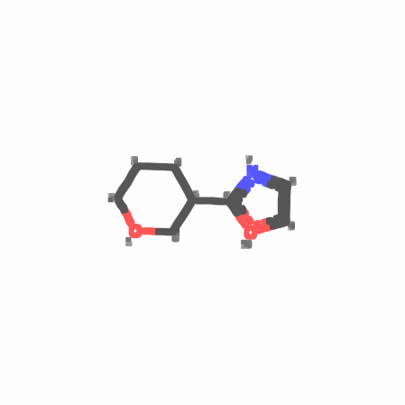 [C]1OCCCC1c1ncco1